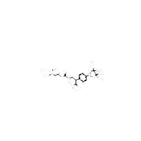 COC(=O)C(CNC(=O)OCC[Si](C)(C)C)c1ccc(B2OC(C)(C)C(C)(C)O2)cc1